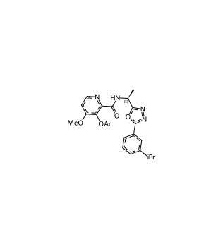 COc1ccnc(C(=O)N[C@@H](C)c2nnc(-c3cccc(C(C)C)c3)o2)c1OC(C)=O